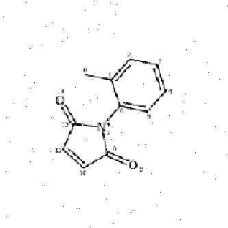 Cc1ccccc1[N+]1C(=O)C=CC1=O